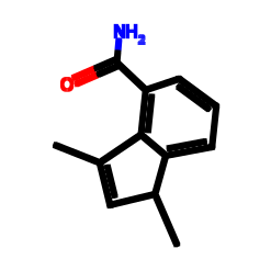 CC1=CC(C)c2cccc(C(N)=O)c21